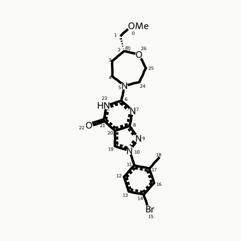 COC[C@H]1CCN(c2nc3nn(-c4ccc(Br)cc4C)cc3c(=O)[nH]2)CCO1